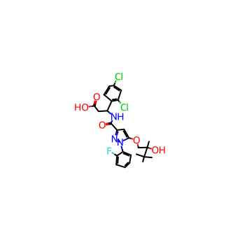 CC(C)(C)C(C)(O)COc1cc(C(=O)NC(CC(=O)O)c2ccc(Cl)cc2Cl)nn1-c1ccccc1F